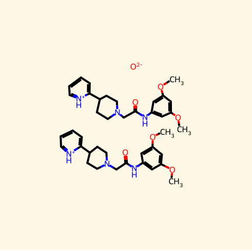 COc1cc(NC(=O)CN2CCC(c3cccc[nH+]3)CC2)cc(OC)c1.COc1cc(NC(=O)CN2CCC(c3cccc[nH+]3)CC2)cc(OC)c1.[O-2]